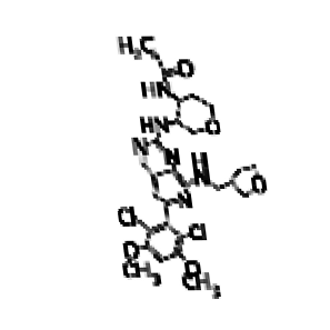 C=CC(=O)N[C@H]1CCOC[C@H]1Nc1ncc2cc(-c3c(Cl)c(OC)cc(OC)c3Cl)nc(NCC3CCOC3)c2n1